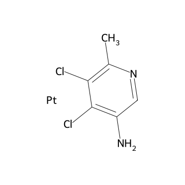 Cc1ncc(N)c(Cl)c1Cl.[Pt]